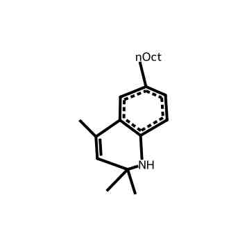 CCCCCCCCc1ccc2c(c1)C(C)=CC(C)(C)N2